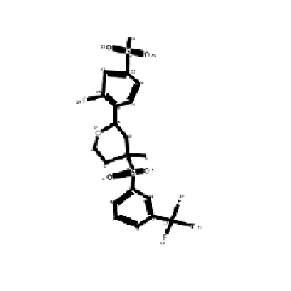 CC1(S(=O)(=O)c2cccc(C(F)(F)F)c2)CCOC(c2ccc(S(C)(=O)=O)cc2F)C1